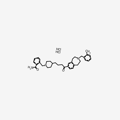 Cc1ccccc1CN1CCc2ccc(C(=O)CCCC3CCN(Cc4ccccc4C(N)=O)CC3)cc2CC1.Cl.Cl